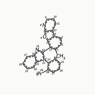 Cc1ccc2c(oc3ncccc32)c1-c1nc2ccccc2n1-c1ccccc1C(C)C